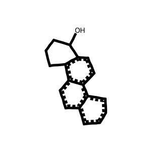 OC1CCCc2c1ccc1c2ccc2ccccc21